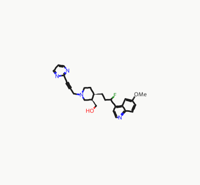 COc1ccc2nccc(C(F)CC[C@@H]3CCN(CC#Cc4ncccn4)C[C@@H]3CO)c2c1